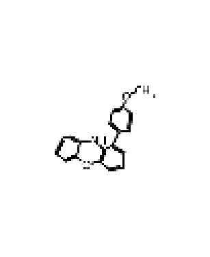 COc1ccc(-c2cccc3c2Nc2ccccc2O3)cc1